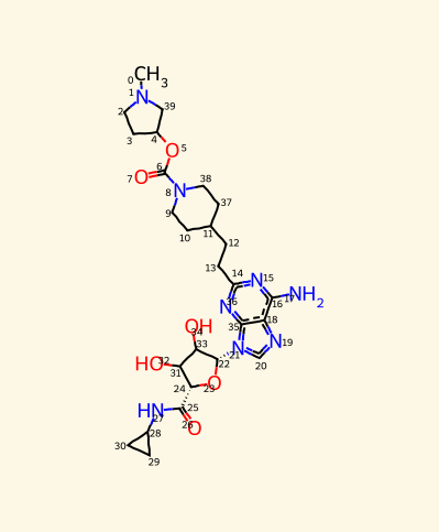 CN1CCC(OC(=O)N2CCC(CCc3nc(N)c4ncn([C@@H]5O[C@H](C(=O)NC6CC6)C(O)C5O)c4n3)CC2)C1